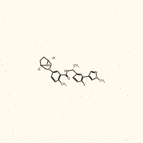 Cc1ccc(N2C[C@H]3CC[C@@H](C2)N3)cc1C(=O)N[C@H](C)c1ccc(F)c(-c2cnn(C)c2)c1